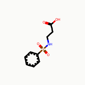 O=C(O)CCNS(=O)(=O)c1[c]cccc1